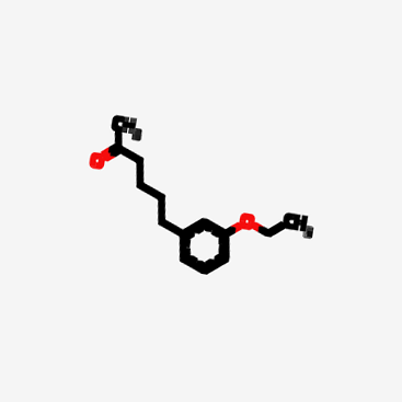 CCOc1cccc(CCCCC(C)=O)c1